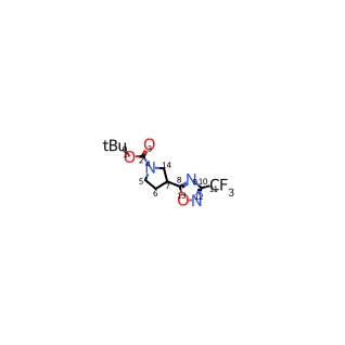 CC(C)(C)OC(=O)N1CCC(c2nc(C(F)(F)F)no2)C1